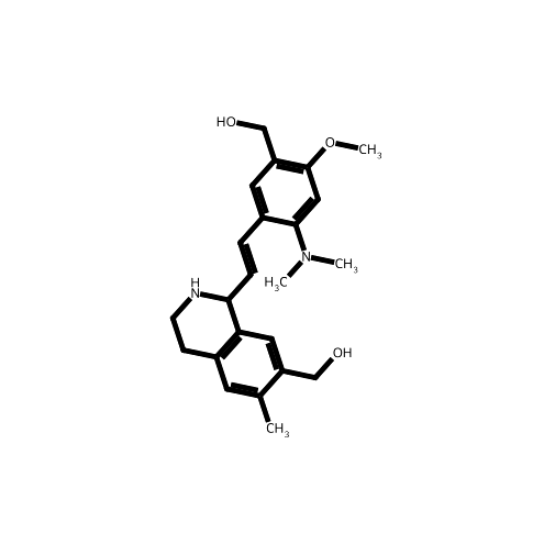 COc1cc(N(C)C)c(/C=C/C2NCCc3cc(C)c(CO)cc32)cc1CO